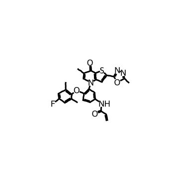 C=CC(=O)Nc1ccc(Oc2c(C)cc(F)cc2C)c(-n2cc(C)c(=O)c3sc(-c4nnc(C)o4)cc32)c1